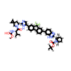 COC(O)N[C@H](C(=O)N1CC2(CC2)C[C@H]1c1ncc(-c2ccc3c(c2)C(F)(F)c2cc(-c4ccc5nc([C@@H]6[C@H]7CC[C@H](C7)N6C(=O)OC(C)(C)C)[nH]c5c4)ccc2-3)[nH]1)C(C)C